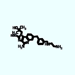 CCCCc1nc2c(N)nc3cc(Cc4cccc(CNCCN)c4)ccc3c2n1CC(C)(C)O